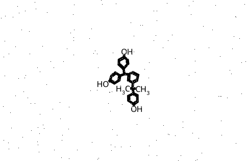 CC(C)(c1ccc(O)cc1)c1cccc(C(c2ccc(O)cc2)c2ccc(O)cc2)c1